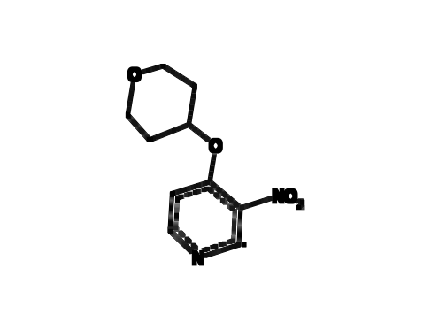 O=[N+]([O-])c1[c]nccc1OC1CCOCC1